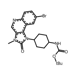 Cn1c(=O)n(C2CCC(NC(=O)OC(C)(C)C)CC2)c2c3cc(Br)ccc3ncc21